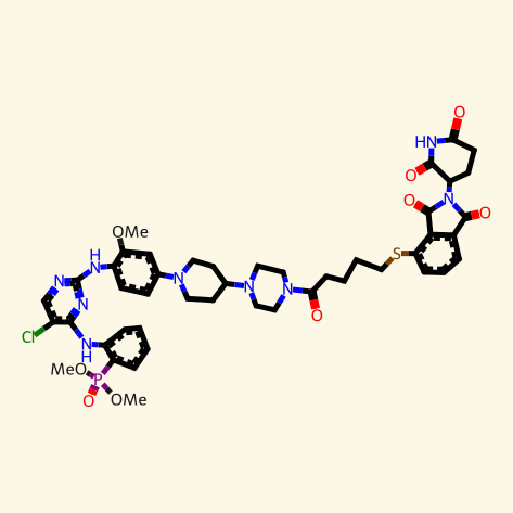 COc1cc(N2CCC(N3CCN(C(=O)CCCCSc4cccc5c4C(=O)N(C4CCC(=O)NC4=O)C5=O)CC3)CC2)ccc1Nc1ncc(Cl)c(Nc2ccccc2P(=O)(OC)OC)n1